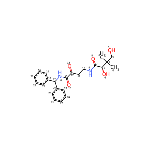 CC(C)(CO)[C@@H](O)C(=O)NCCC(=O)C(=O)NC(c1ccccc1)c1ccccc1